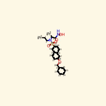 CC(C)CCN(C(C(=O)NO)C(C)C)S(=O)(=O)c1ccc2cc(OCc3ccccc3)ccc2c1